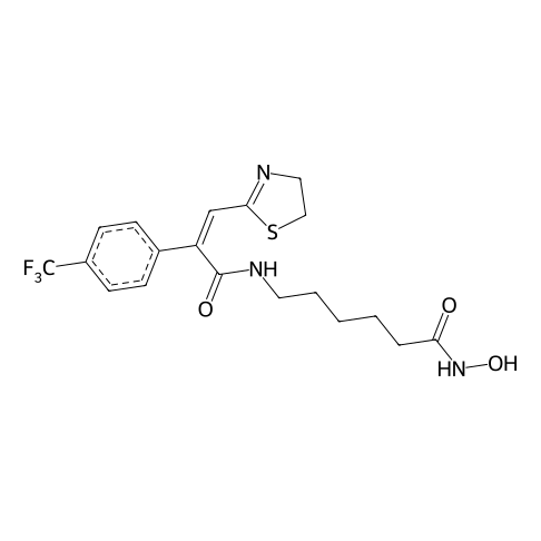 O=C(CCCCCNC(=O)/C(=C\C1=NCCS1)c1ccc(C(F)(F)F)cc1)NO